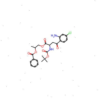 CC(COC(=O)C(CC(=O)c1ccc(Cl)cc1N)NC(=O)OC(C)(C)C)OC(=O)c1ccccc1